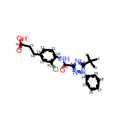 CC(C)(C)c1nc(C(=O)Nc2ccc(CCC(=O)O)cc2Cl)nn1-c1ccccc1